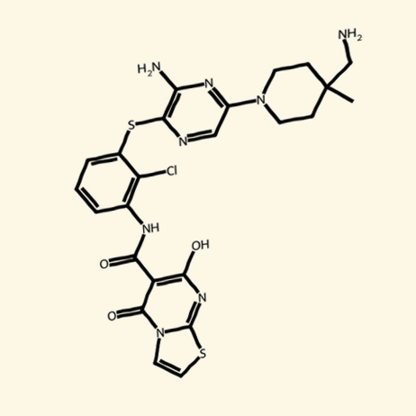 CC1(CN)CCN(c2cnc(Sc3cccc(NC(=O)c4c(O)nc5sccn5c4=O)c3Cl)c(N)n2)CC1